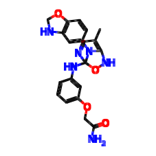 CC1=C2NOC(Nc3cccc(OCC(N)=O)c3)(N=C1)N2c1ccc2c(c1)NCO2